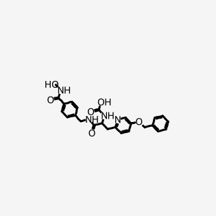 O=C(O)NC(Cc1ccc(OCc2ccccc2)cn1)C(=O)NCc1ccc(C(=O)NO)cc1